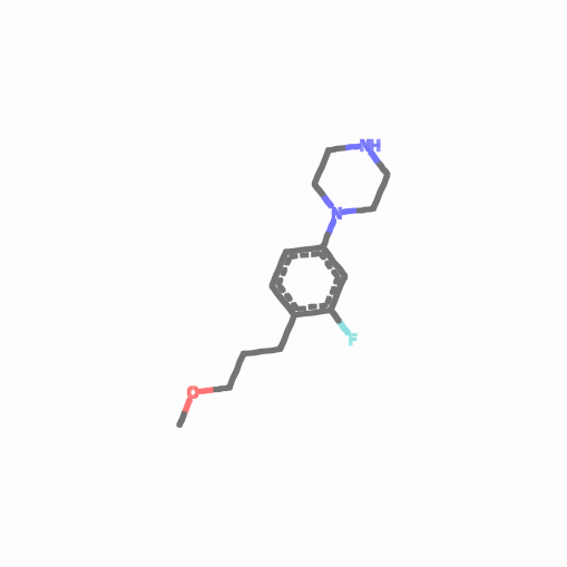 COCCCc1ccc(N2CCNCC2)cc1F